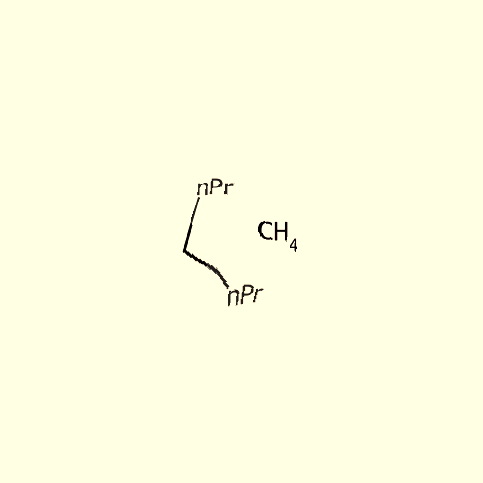 C.CCCCCCC